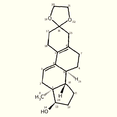 C[C@]12CC=C3C4=C(CC[C@H]3[C@@H]1CC[C@H]2O)CC1(CC4)OCCO1